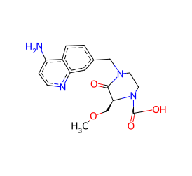 COC[C@H]1C(=O)N(Cc2ccc3c(N)ccnc3c2)CCN1C(=O)O